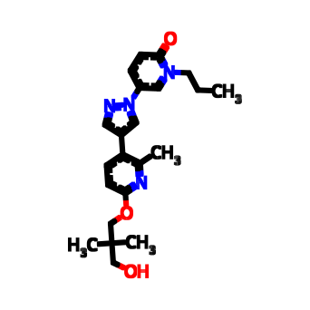 CCCn1cc(-n2cc(-c3ccc(OCC(C)(C)CO)nc3C)cn2)ccc1=O